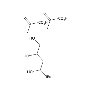 C=C(C)C(=O)O.C=C(C)C(=O)O.CCC(C)C(O)CC(O)CO